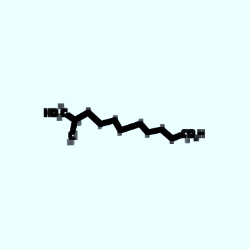 O=C(O)CCCCCCCCC(Cl)C(=O)O